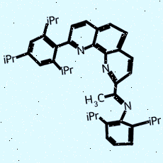 CC(=Nc1c(C(C)C)cccc1C(C)C)c1ccc2ccc3ccc(-c4c(C(C)C)cc(C(C)C)cc4C(C)C)nc3c2n1